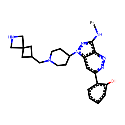 CCNc1nn(C2CCN(CC3CC4(CNC4)C3)CC2)c2cc(-c3ccccc3O)nnc12